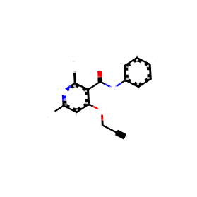 C#CCOc1cc(C)nc(C)c1C(=O)Nc1ccccc1